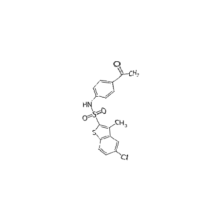 CC(=O)c1ccc(NS(=O)(=O)c2sc3ccc(Cl)cc3c2C)cc1